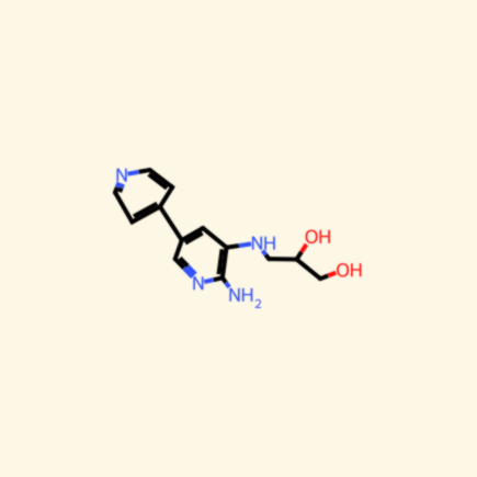 Nc1ncc(-c2ccncc2)cc1NCC(O)CO